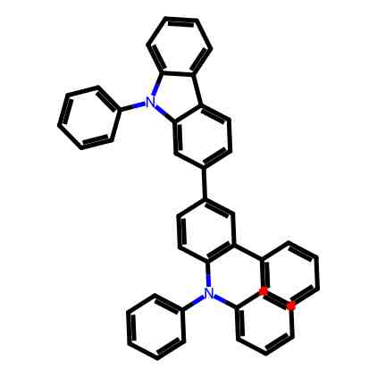 c1ccc(-c2cc(-c3ccc4c5ccccc5n(-c5ccccc5)c4c3)ccc2N(c2ccccc2)c2ccccc2)cc1